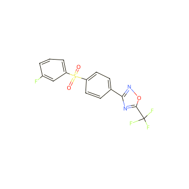 O=S(=O)(c1ccc(-c2noc(C(F)(F)F)n2)cc1)c1cccc(F)c1